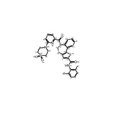 Cc1cccc(F)c1NC(=O)c1cc2c(s1)-c1ccccc1N(C(=O)c1cccc(N3CCS(=O)(=O)CC3)n1)CC2